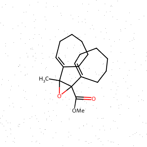 COC(=O)C1(C2=CCCCCC2)OC1(C)C1=CCCCCC1